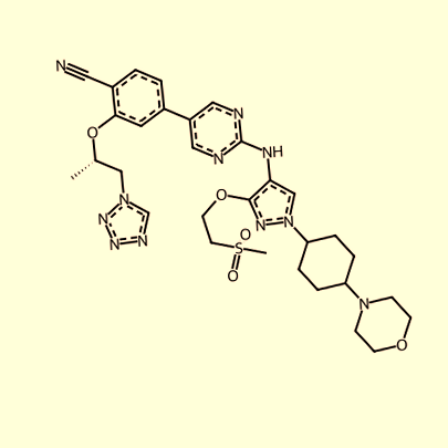 C[C@@H](Cn1cnnn1)Oc1cc(-c2cnc(Nc3cn(C4CCC(N5CCOCC5)CC4)nc3OCCS(C)(=O)=O)nc2)ccc1C#N